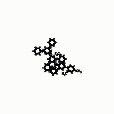 Cc1ccc(-c2ccc3c(c2)c2ccccc2n3-c2c(-c3ccccc3C(F)(F)F)cc(-c3nc(-c4ccccc4)cc(-c4ccccc4)n3)cc2-c2ccccc2C(F)(F)F)c(C)c1